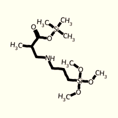 CO[Si](CCCNCC(C)C(=O)O[Si](C)(C)C)(OC)OC